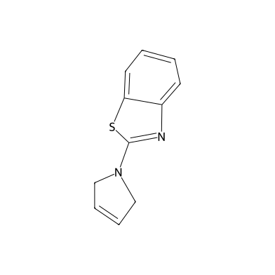 C1=CCN(c2nc3ccccc3s2)C1